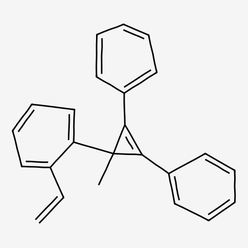 C=Cc1ccccc1C1(C)C(c2ccccc2)=C1c1ccccc1